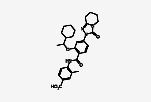 Cc1cc(C(=O)O)ccc1NC(=O)c1ccc(-n2nc3n(c2=O)CCCC3)cc1OC(C)C1CCCCC1